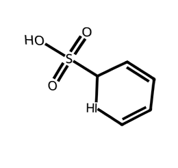 O=S(=O)(O)C1C=CC=C[IH]1